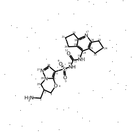 NCC1COc2c(S(=O)(=O)NC(=O)Nc3c4c(nc5c3CCC5)CCC4)cnn2C1